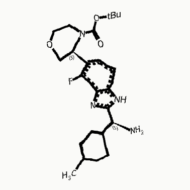 CC1CCC([C@H](N)c2nc3c(F)c([C@H]4COCCN4C(=O)OC(C)(C)C)ccc3[nH]2)CC1